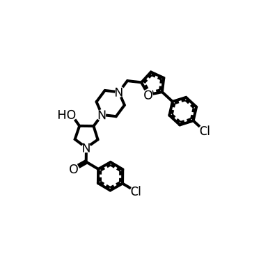 O=C(c1ccc(Cl)cc1)N1CC(O)C(N2CCN(Cc3ccc(-c4ccc(Cl)cc4)o3)CC2)C1